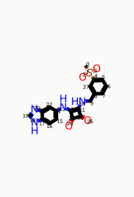 CS(=O)(=O)c1cccc(CNc2c(Nc3ccc4[nH]cnc4c3)c(=O)c2=O)c1